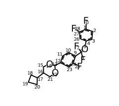 Fc1ccc(OC(F)(F)c2ccc(C3OCC(C4CCC4)CO3)cc2F)cc1F